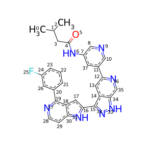 CC(C)CC(=O)Nc1cncc(-c2cc3c(-c4cc5c(-c6cccc(F)c6)nccc5[nH]4)n[nH]c3cn2)c1